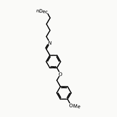 CCCCCCCCCCCCCCN=Cc1ccc(OCc2ccc(OC)cc2)cc1